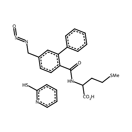 CSCCC(NC(=O)c1ccc(CN=S=O)cc1-c1ccccc1)C(=O)O.Sc1ccccn1